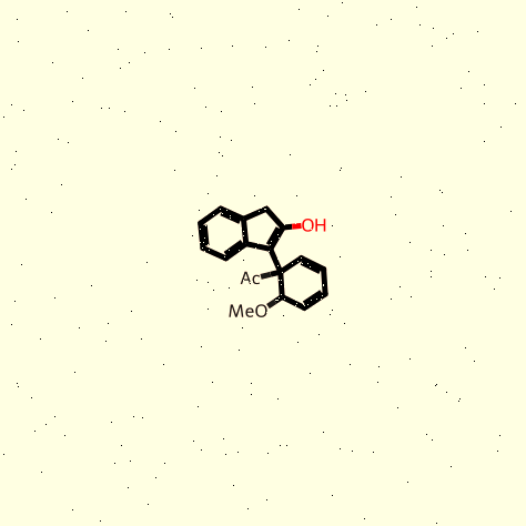 COC1C=CC=CC1(C(C)=O)C1=C(O)Cc2ccccc21